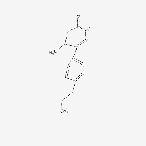 [CH2]CCc1ccc(C2=NNC(=O)CC2C)cc1